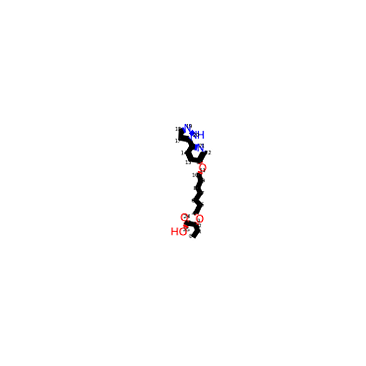 CCC(OCCCCCCCOc1ccc(-c2ccn[nH]2)nc1)C(=O)O